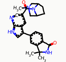 CN1CC2CCC(C1)N2C(=O)c1cnc2[nH]cc(-c3ccc4c(c3)C(C)(C)NC4=O)c2c1